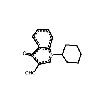 O=Cc1cn(C2CCCCC2)c2ccccc2c1=O